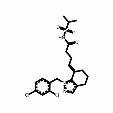 CC(C)S(=O)(=O)NC(=O)CC/C=C1\CCCc2cnn(Cc3ccc(Cl)cc3Cl)c21